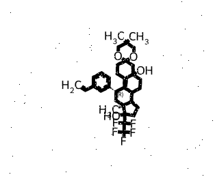 C=Cc1cccc([C@H]2C[C@@]3(C)C(CCC3(O)C(F)(F)C(F)(F)F)C3CCC4(O)CC5(CCC4=C32)OCC(C)(C)CO5)c1